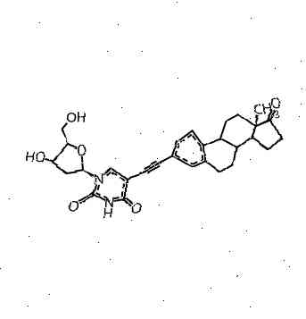 C[C@]12CCC3c4ccc(C#Cc5cn([C@H]6CC(O)[C@@H](CO)O6)c(=O)[nH]c5=O)cc4CCC3C1CCC2=O